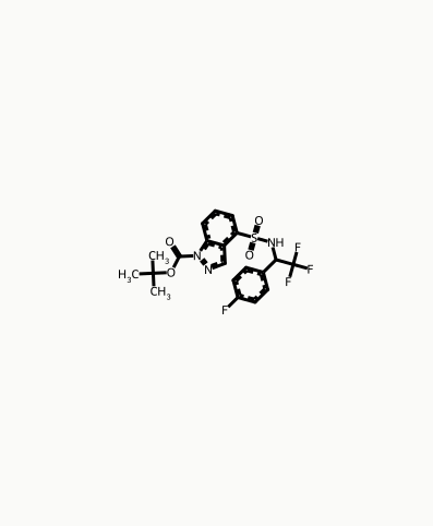 CC(C)(C)OC(=O)n1ncc2c(S(=O)(=O)NC(c3ccc(F)cc3)C(F)(F)F)cccc21